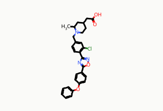 CC1CC(CC(=O)O)CCN1Cc1ccc(-c2noc(-c3ccc(Oc4ccccc4)cc3)n2)c(Cl)c1